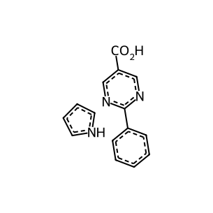 O=C(O)c1cnc(-c2ccccc2)nc1.c1cc[nH]c1